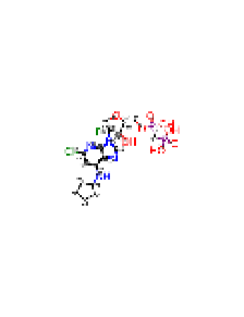 O=P(O)(O)CP(=O)(O)OC[C@H]1OC[C@](F)(n2cnc3c(NC4CCCC4)cc(Cl)nc32)[C@@H]1O